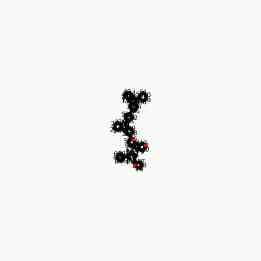 c1ccc(-c2cc(-n3c4ccccc4c4cc(-c5ccc6c(c5)c5ccccc5n6-c5ccc(-c6ccc7c(c6)c6ncccc6n7-c6ccccc6)cc5)ccc43)nc(-c3ccccc3)n2)cc1